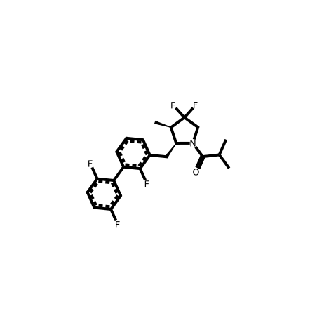 CC(C)C(=O)N1CC(F)(F)[C@H](C)[C@@H]1Cc1cccc(-c2cc(F)ccc2F)c1F